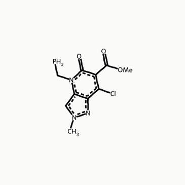 COC(=O)c1c(Cl)c2nn(C)cc2n(CP)c1=O